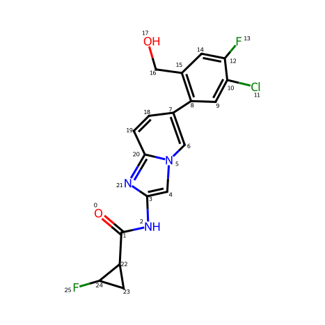 O=C(Nc1cn2cc(-c3cc(Cl)c(F)cc3CO)ccc2n1)C1CC1F